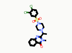 CC(c1nc2ccccc2c(=O)n1C)N1CCN(S(=O)(=O)c2ccc(Cl)c(Cl)c2)CC1